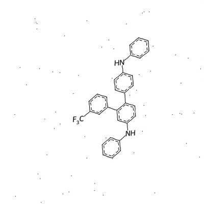 FC(F)(F)c1cccc(-c2cc(Nc3ccccc3)ccc2-c2ccc(Nc3ccccc3)cc2)c1